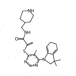 C=C(Sc1ncnc(N2CC(C)(C)C3=CCCC=C32)c1C)C(=O)NCC1CCNCC1